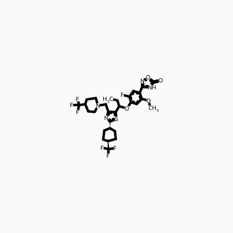 CCC(Oc1cc(OC)c(-c2noc(=O)[nH]2)cc1F)c1sc([C@H]2CC[C@H](C(F)(F)F)CC2)nc1CN1CCC(C(F)(F)F)CC1